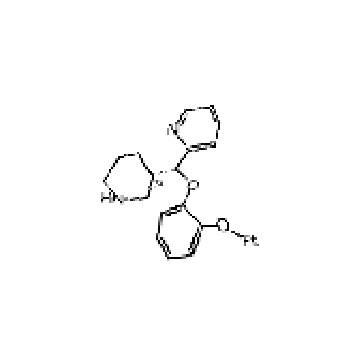 CCOc1ccccc1OC(c1ccccn1)[C@H]1CCCNC1